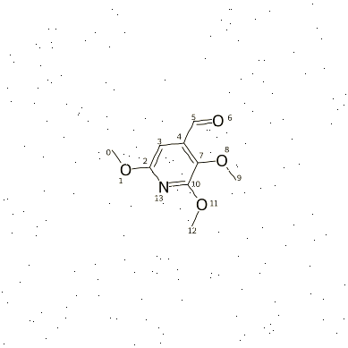 COc1cc(C=O)c(OC)c(OC)n1